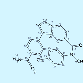 CN(C(=O)c1ccn2ncc(-c3ccc(C(N)=O)cc3)c2c1)c1ccc(Cl)cc1